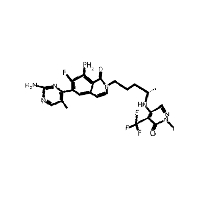 Cc1cnc(N)nc1-c1cc2ccn(CCC[C@H](C)Nc3cnn(I)c(=O)c3C(F)(F)F)c(=O)c2c(P)c1F